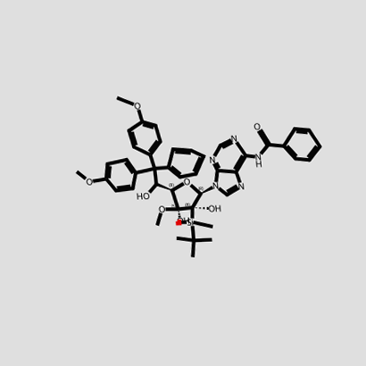 COc1ccc(C(c2ccccc2)(c2ccc(OC)cc2)C(O)[C@H]2O[C@@H](n3cnc4c(NC(=O)c5ccccc5)ncnc43)[C@@](O)([Si](C)(C)C(C)(C)C)[C@@]2(O)OC)cc1